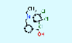 CCN(Cc1cccc(CO)c1)c1cc(Cl)c(Cl)c(Cl)c1